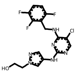 OCCn1cc(Nc2ncc(Cl)c(NCc3c(F)ccc(F)c3F)n2)cn1